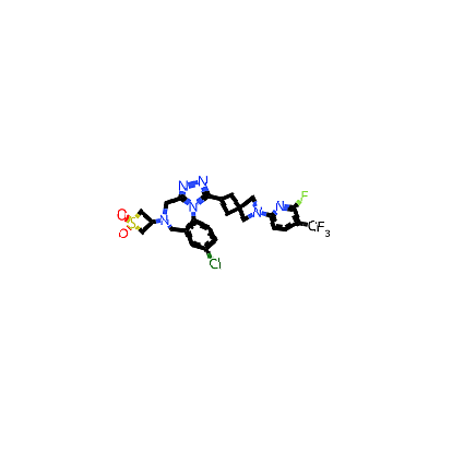 O=S1(=O)CC(N2Cc3cc(Cl)ccc3-n3c(nnc3C3CC4(C3)CN(c3ccc(C(F)(F)F)c(F)n3)C4)C2)C1